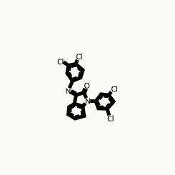 O=C1/C(=N\c2ccc(Cl)c(Cl)c2)c2ccccc2N1c1cc(Cl)cc(Cl)c1